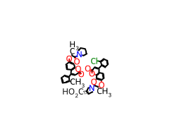 CC(Oc1ccc2c(-c3ccccc3Cl)cc(=O)oc2c1)C(=O)N1CC[C@H](C(=O)O)C1.Cc1ccccc1-c1cc(=O)oc2cc(OC(C)C(=O)N3CCCCC3)ccc12